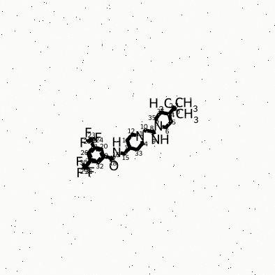 CC(C)(C)C1CCN(C(=N)CN2CCC(CNC(=O)c3cc(C(F)(F)F)cc(C(F)(F)F)c3)CC2)CC1